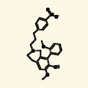 COc1ccccc1-c1c(O)c(OC)cc2c1CN(CCCc1ccc([N+](=O)[O-])cc1)CC2